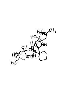 CC(C)C[C@@H](NC(=O)C1(C(=O)N[C@H](CC(C)C)C(C)(C)O)CCCCC1)C(C)(C)O